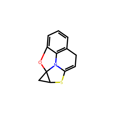 C1=C2SC3CC34Oc3cccc(c3N24)C1